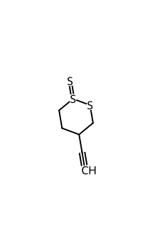 C#CC1CCS(=S)SC1